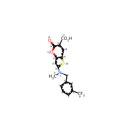 CN(Cc1cccc(C(F)(F)F)c1)c1cc2oc(=O)c(C(=O)O)cc2s1